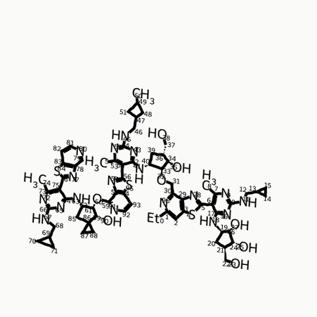 CCc1cc2sc(-c3c(C)nc(NCC4CC4)nc3N[C@@H]3C[C@H](CO)[C@@H](O)[C@H]3O)nc2c(CO[C@@H]2[C@H](O)[C@@H](CO)C[C@H]2Nc2nc(NCC3CC(C)C3)nc(C)c2-c2nc3c(O[C@H]4[C@H](Nc5nc(NCC6CC6)nc(C)c5-c5nc6cnccc6s5)CC5(CC5)[C@H]4O)nccc3s2)n1